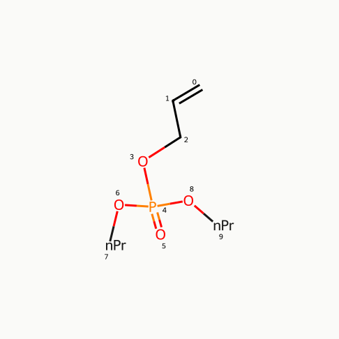 C=CCOP(=O)(OCCC)OCCC